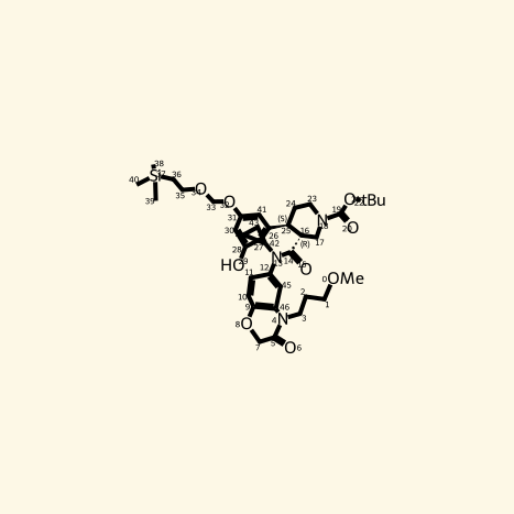 COCCCN1C(=O)COc2ccc(N(C(=O)[C@H]3CN(C(=O)OC(C)(C)C)CC[C@@H]3c3cc(O)cc(OCOCC[Si](C)(C)C)c3)C3CC3)cc21